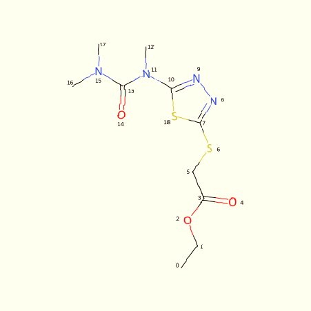 CCOC(=O)CSc1nnc(N(C)C(=O)N(C)C)s1